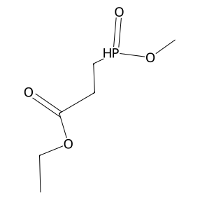 CCOC(=O)CC[PH](=O)OC